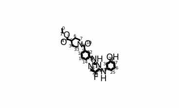 CCOC(=O)C1CCN(C(=O)c2cccc(Nc3ncc(F)c(Nc4cccc(O)c4)n3)c2)CC1